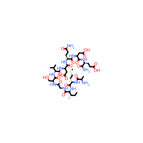 CC[C@H](C)C(NC(=O)[C@H](CCSC)NC(=O)C(C)N)C(=O)NCC(=O)NC(CO)C(=O)N[C@H](C(=O)NC(CC(=O)O)C(=O)N[C@@H](CCC(N)=O)C(=O)NC(CC(=O)O)C(=O)N[C@@H](CCC(=O)O)C(N)=O)C(C)C